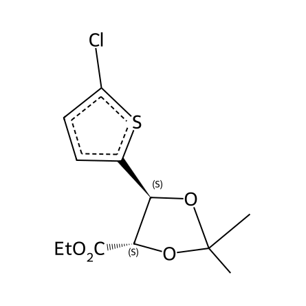 CCOC(=O)[C@H]1OC(C)(C)O[C@@H]1c1ccc(Cl)s1